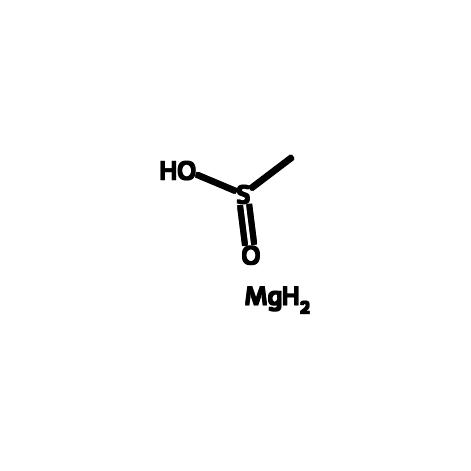 CS(=O)O.[MgH2]